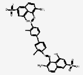 Cc1cc(-c2ccc(N=Nc3c(N)ccc4cc(S(=O)(=O)O)cc(O)c34)c(C)c2)ccc1N=Nc1c(N)ccc2cc(S(=O)(=O)O)cc(O)c12